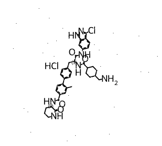 Cc1cc(C(=O)N[C@H]2CCCNC2=O)ccc1-c1ccc(C[C@H](NC(=O)C2CCC(CN)CC2)C(=O)Nc2ccc3c(Cl)n[nH]c3c2)cc1.Cl